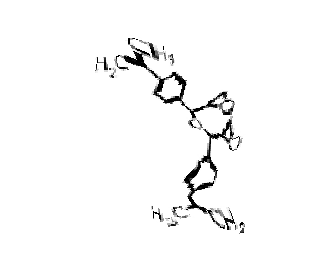 C=C(C)c1ccc(C(OC(c2ccc(C(=C)C)cc2)C2CO2)C2CO2)cc1